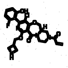 C=CC(=O)N1CCN2C(=O)c3c(OCC4CNC4)nc(-c4c(O)cccc4F)c(Cl)c3OC[C@H]2C1